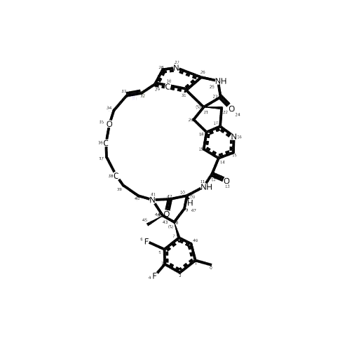 Cc1cc(F)c(F)c([C@@H]2C[C@@H]3NC(=O)c4cnc5c(c4)C[C@@]4(C5)C(=O)Nc5ncc(cc54)/C=C/COCCCCCN(C3=O)[C@@H]2C)c1